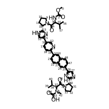 COC(=O)N[C@H](C(=O)N1CCC[C@H]1c1nc(-c2ccc(-c3ccc4cc(-c5cnc([C@@H]6CCCN6C(=O)[C@H](C(C)C)N(C)C(=O)O)[nH]5)ccc4c3)nc2)c[nH]1)C(C)C